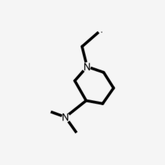 [CH2]CN1CCCC(N(C)C)C1